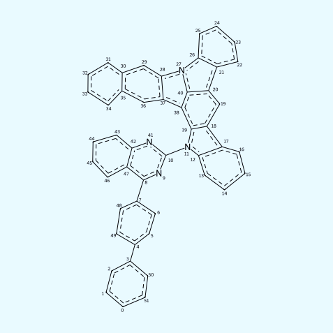 c1ccc(-c2ccc(-c3nc(-n4c5ccccc5c5cc6c7ccccc7n7c8cc9ccccc9cc8c(c54)c67)nc4ccccc34)cc2)cc1